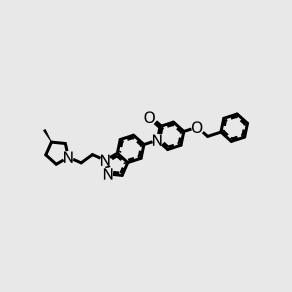 C[C@@H]1CCN(CCn2ncc3cc(-n4ccc(OCc5ccccc5)cc4=O)ccc32)C1